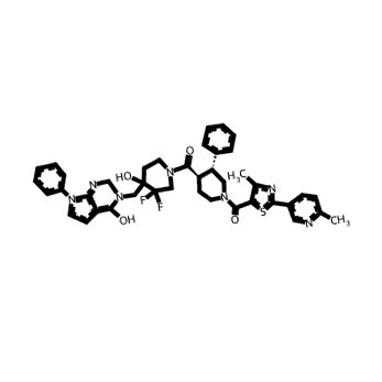 Cc1ccc(-c2nc(C)c(C(=O)N3CC[C@@H](C(=O)N4CCC(O)(CN5CN=c6c(ccn6-c6ccccc6)=C5O)C(F)(F)C4)[C@H](c4ccccc4)C3)s2)cn1